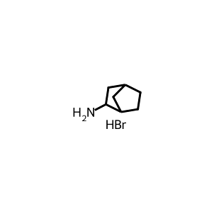 Br.NC1CC2CCC1C2